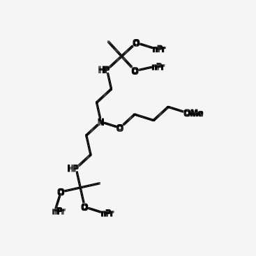 CCCOC(C)(OCCC)PCCN(CCPC(C)(OCCC)OCCC)OCCCOC